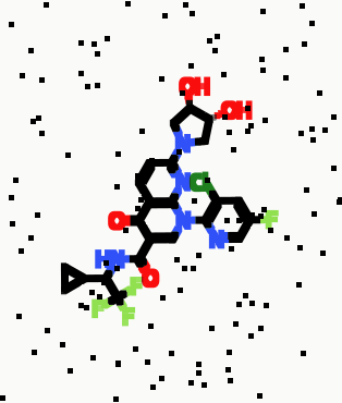 O=C(NC(C1CC1)C(F)(F)F)c1cn(-c2ncc(F)cc2Cl)c2nc(N3C[C@@H](O)[C@H](O)C3)ccc2c1=O